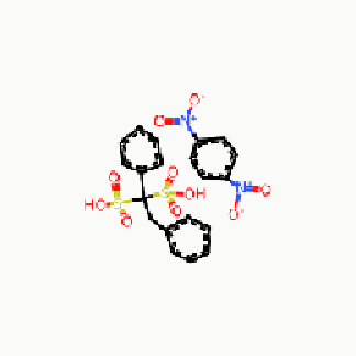 O=S(=O)(O)C(Cc1ccccc1)(c1ccccc1)S(=O)(=O)O.O=[N+]([O-])c1ccc([N+](=O)[O-])cc1